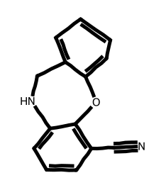 N#Cc1cccc2c1Oc1ccccc1CN2